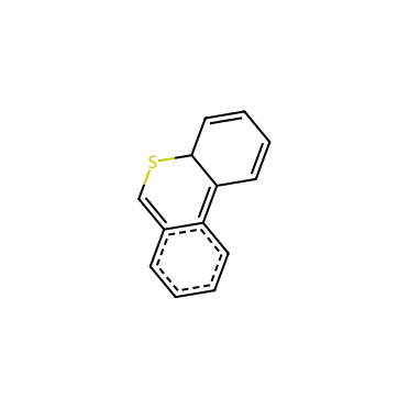 C1=CC2=c3ccccc3=CSC2C=C1